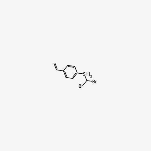 C=Cc1ccc([SiH2]C(Br)Br)cc1